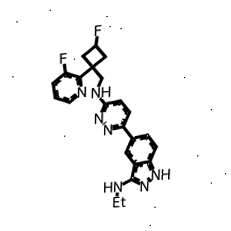 CCNc1n[nH]c2ccc(-c3ccc(NCC4(c5ncccc5F)CC(F)C4)nn3)cc12